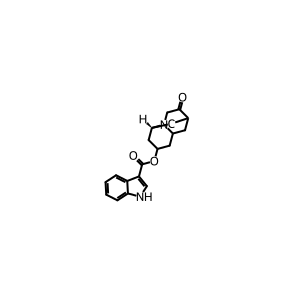 O=C(OC1CC2CC3C[C@H](C1)N2CC3=O)c1c[nH]c2ccccc12